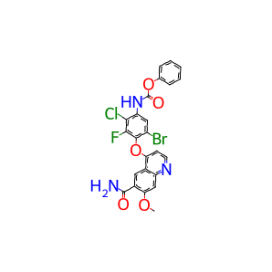 COc1cc2nccc(Oc3c(Br)cc(NC(=O)Oc4ccccc4)c(Cl)c3F)c2cc1C(N)=O